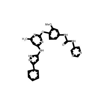 COc1cc(NC(=O)Nc2cncnc2)ccc1Oc1nc(C)cc(Nc2cc(-c3ccccc3)n[nH]2)n1